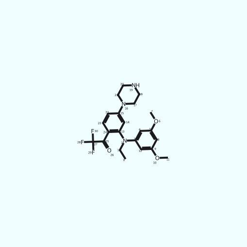 CCN(c1cc(OC)cc(OC)c1)c1cc(N2CCNCC2)ccc1C(=O)C(F)(F)F